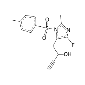 C#CC(O)Cc1c(F)nc(C)n1S(=O)(=O)c1ccc(C)cc1